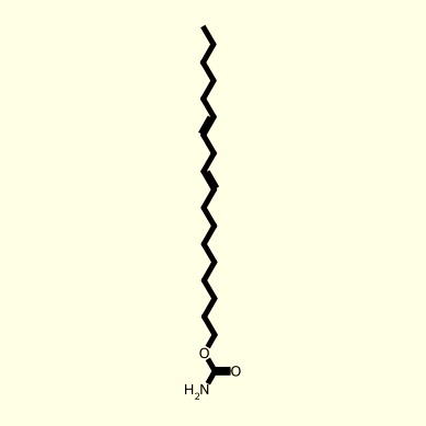 CCCCCC=CCC=CCCCCCCCCOC(N)=O